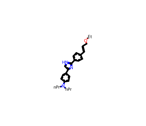 CCCN(CCC)c1ccc(-c2c[nH]c(-c3ccc(/C=C/COCC)cc3)n2)cc1